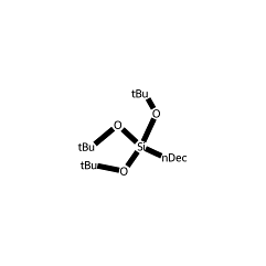 CCCCCCCCCC[Si](OC(C)(C)C)(OC(C)(C)C)OC(C)(C)C